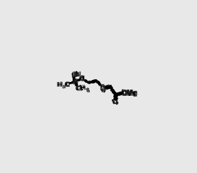 COC(=O)COCCO[Si](C)(C)C(C)(C)C